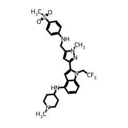 CN1CCC(Nc2cccc3c2cc(-c2cc(CNc4ccc(S(C)(=O)=O)cc4)n(C)n2)n3CC(F)(F)F)CC1